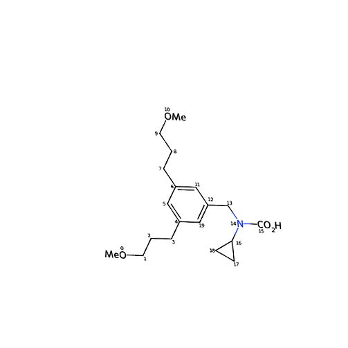 COCCCc1cc(CCCOC)cc(CN(C(=O)O)C2CC2)c1